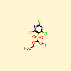 CCOC(C)S(=O)(=O)c1c(Cl)nc(Cl)nc1Cl